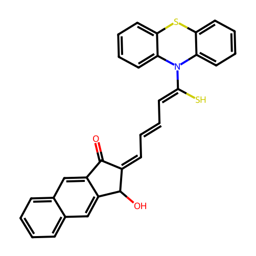 O=C1\C(=C/C=C/C=C(\S)N2c3ccccc3Sc3ccccc32)C(O)c2cc3ccccc3cc21